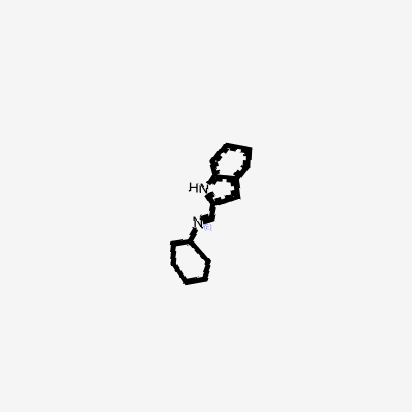 C(=N\C1CCCCC1)/c1cc2ccccc2[nH]1